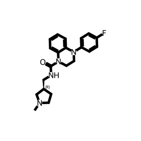 CN1CC[C@H](CNC(=O)N2CCN(c3ccc(F)cc3)c3ccccc32)C1